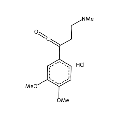 CNCCC(=C=O)c1ccc(OC)c(OC)c1.Cl